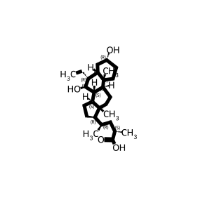 CC[C@H]1[C@H](O)[C@@H]2[C@H](CC[C@]3(C)[C@@H]([C@H](C)C[C@H](C)C(=O)O)CC[C@@H]23)[C@@]2(C)CC[C@@H](O)C[C@@H]12